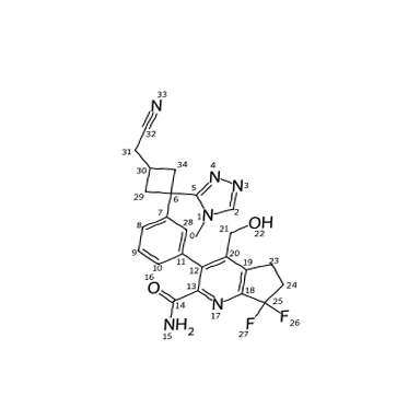 Cn1cnnc1C1(c2cccc(-c3c(C(N)=O)nc4c(c3CO)CCC4(F)F)c2)CC(CC#N)C1